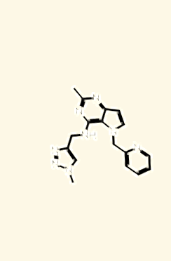 Cc1nc(NCc2cn(C)nn2)c2c(ccn2Cc2ccccn2)n1